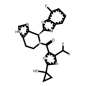 O=C(c1oc(C2(O)CC2)nc1C(F)F)N1CCc2[nH]cnc2[C@H]1c1nc2cccc(F)c2o1